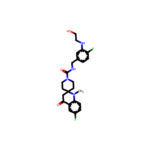 CN1c2ccc(F)cc2C(=O)CC12CCN(C(=O)NCc1ccc(F)c(NCCO)c1)CC2